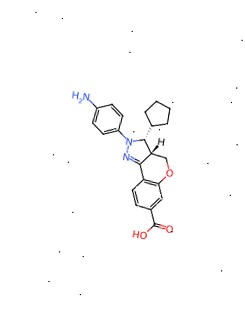 Nc1ccc(N2N=C3c4ccc(C(=O)O)cc4OC[C@H]3[C@H]2C2CCCC2)cc1